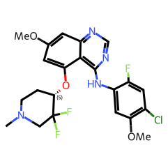 COc1cc(O[C@H]2CCN(C)CC2(F)F)c2c(Nc3cc(OC)c(Cl)cc3F)ncnc2c1